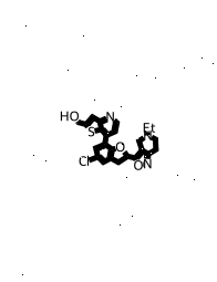 CCN1CCc2noc(C3Cc4cc(Cl)cc(-c5ccnc6cc(CO)sc56)c4O3)c2C1